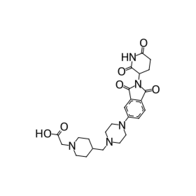 O=C(O)CN1CCC(CN2CCN(c3ccc4c(c3)C(=O)N(C3CCC(=O)NC3=O)C4=O)CC2)CC1